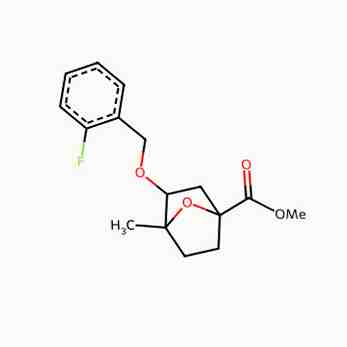 COC(=O)C12CCC(C)(O1)C(OCc1ccccc1F)C2